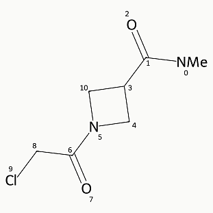 CNC(=O)C1CN(C(=O)CCl)C1